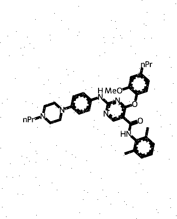 CCCc1ccc(Oc2nc(Nc3ccc(N4CCN(CCC)CC4)cc3)ncc2C(=O)Nc2c(C)cccc2C)c(OC)c1